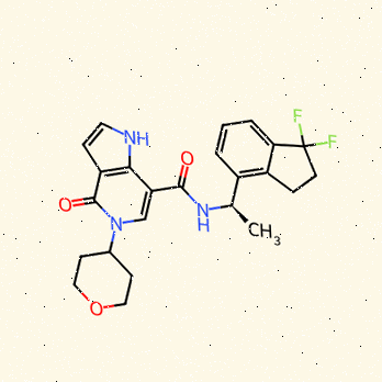 C[C@@H](NC(=O)c1cn(C2CCOCC2)c(=O)c2cc[nH]c12)c1cccc2c1CCC2(F)F